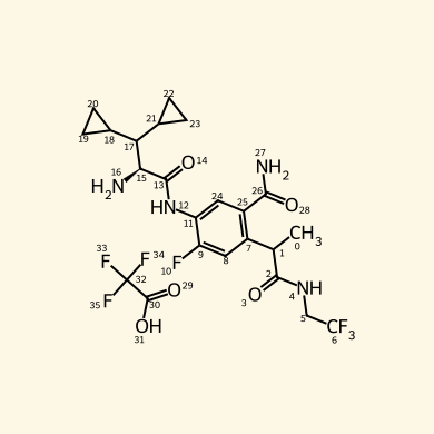 CC(C(=O)NCC(F)(F)F)c1cc(F)c(NC(=O)[C@@H](N)C(C2CC2)C2CC2)cc1C(N)=O.O=C(O)C(F)(F)F